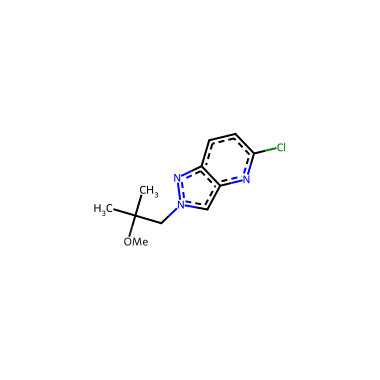 COC(C)(C)Cn1cc2nc(Cl)ccc2n1